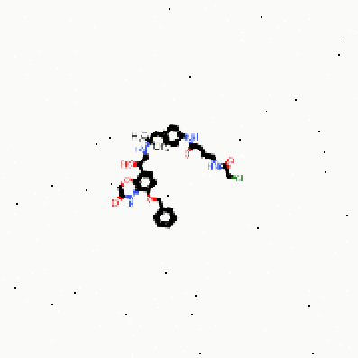 CC(C)(Cc1ccc(NC(=O)CCCNC(=O)CCl)cc1)NCC(O)c1ccc(OCc2ccccc2)c2c1OCC(=O)N2